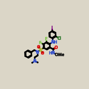 CONC(=O)c1cc(S(=O)(=O)N(CCN(C)C)Cc2ccccc2)c(F)c(F)c1Nc1ccc(I)cc1Cl